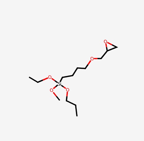 CCCO[Si](CCCCOCC1CO1)(OC)OCC